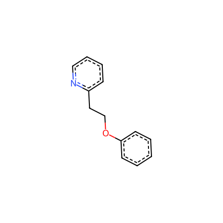 c1ccc(OCCc2ccccn2)cc1